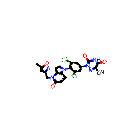 Cc1cc(Cn2c(=O)ccc3c2ccn3-c2c(Cl)cc(-n3nc(C#N)c(=O)[nH]c3=O)cc2Cl)no1